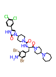 Nc1c(Br)cc(C[C@@H](NC(=O)N2CCC(n3cc(-c4ccc(Cl)c(Cl)c4)[nH]c3=O)CC2)C(=O)N2CCC(N3CCCCCC3)CC2)cc1Br